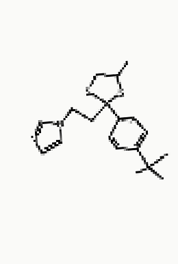 CC1CSC(CCn2ccnc2)(c2ccc(C(C)(C)C)cc2)S1